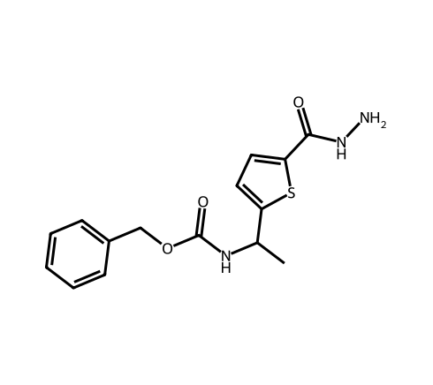 CC(NC(=O)OCc1ccccc1)c1ccc(C(=O)NN)s1